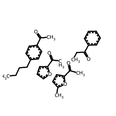 CC(=O)c1ccc(C)o1.CC(=O)c1ccco1.CCC(=O)c1ccccc1.CCCCc1ccc(C(C)=O)cc1